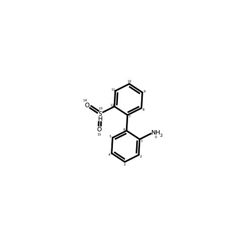 Nc1ccccc1-c1ccccc1[SH](=O)=O